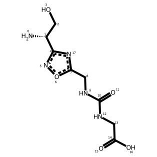 N[C@H](CO)c1noc(CNC(=O)NCC(=O)O)n1